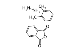 Cc1ccccc1C.NN.O=C1OC(=O)c2ccccc21